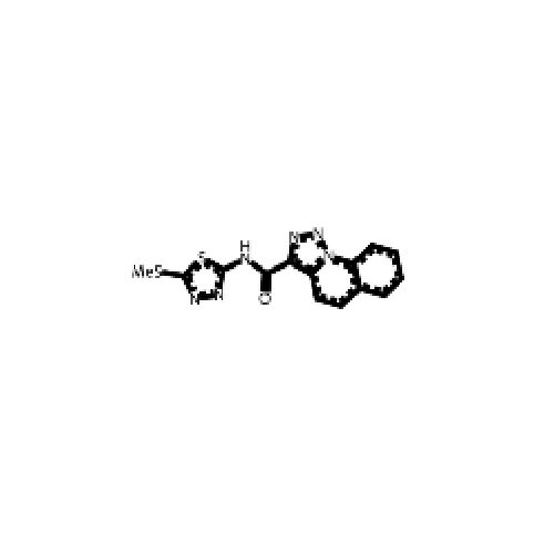 CSc1nnc(NC(=O)c2nnn3c2ccc2ccccc23)s1